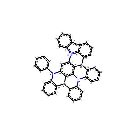 c1ccc(N2c3ccccc3B3c4ccccc4N4c5ccccc5B5c6c(cc2c3c64)-n2c3ccccc3c3cccc5c32)cc1